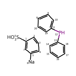 O=S(=O)(O)c1ccc[c]([Na])c1.c1ccc(Pc2ccccc2)cc1